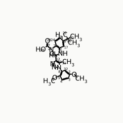 COc1ccc(OC)c(-n2nnc(C(=O)Nc3cc(C(C)(C)C)ccc3NC(=O)O)c2C)c1